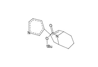 CC(C)(C)OC(=O)N1C2C=C(c3cccnc3)CC1CCC2